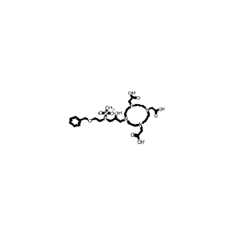 CS(=O)(=O)N(CCOCc1ccccc1)CC(O)CN1CCN(CC(=O)O)CCN(CC(=O)O)CCN(CC(=O)O)CC1